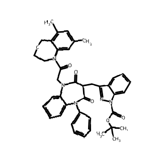 Cc1cc(C)c2c(c1)N(C(=O)CN1C(=O)C(Cc3nn(C(=O)OC(C)(C)C)c4ccccc34)C(=O)N(c3ccccc3)c3ccccc31)CCCC2